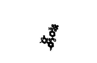 CC1CN(c2cc(F)ccc2NC(=O)[C@H]2CC[C@H](NS(=O)(=O)C(C)(C)C)CC2)C[C@H](C)O1